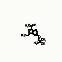 C=C(O)c1nn(CC)c2cc(OCC(C)(C)O)ccc12